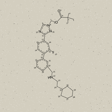 CC(C)(C)C(=O)OCn1cnc(-c2ccc(-c3cccc(CNCCC4CCCCC4)c3)c(F)c2)n1